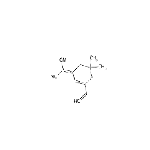 [CH]=CC1=CC(=C(C#N)C#N)CC(C)(C)C1